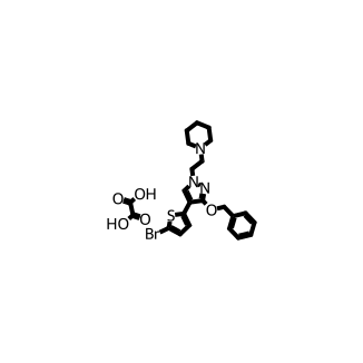 Brc1ccc(-c2cn(CCN3CCCCC3)nc2OCc2ccccc2)s1.O=C(O)C(=O)O